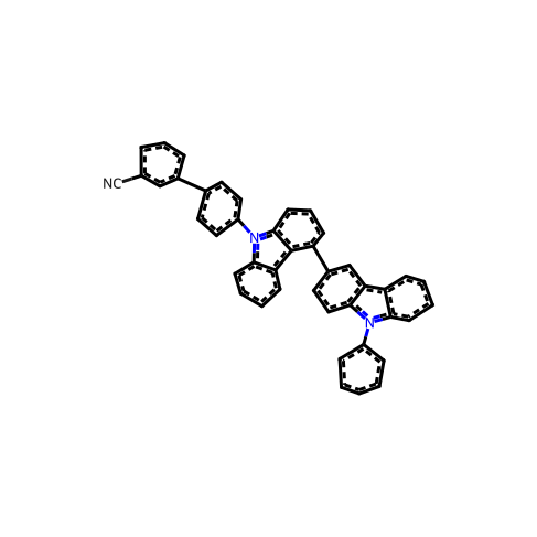 N#Cc1cccc(-c2ccc(-n3c4ccccc4c4c(-c5ccc6c(c5)c5ccccc5n6-c5ccccc5)cccc43)cc2)c1